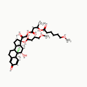 C[C@H]1CC2C3CCC4=CC(=O)C=C[C@]4(C)[C@@]3(Cl)[C@@H](O)C[C@]2(C)[C@@]1(OC(=O)CCCO[N+](=O)[O-])C(=O)COC(=O)CC(OC(=O)CCCCCO[N+](=O)[O-])C(=O)O